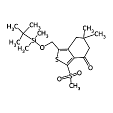 CC1(C)CC(=O)c2c(S(C)(=O)=O)sc(CO[Si](C)(C)C(C)(C)C)c2C1